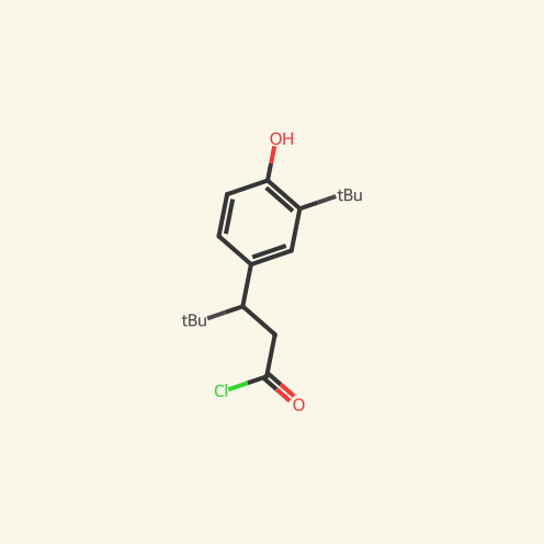 CC(C)(C)c1cc(C(CC(=O)Cl)C(C)(C)C)ccc1O